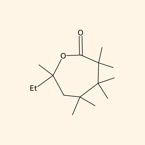 CCC1(C)CC(C)(C)C(C)(C)C(C)(C)C(=O)O1